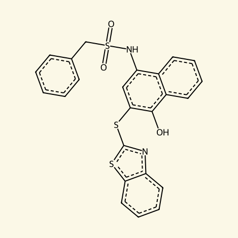 O=S(=O)(Cc1ccccc1)Nc1cc(Sc2nc3ccccc3s2)c(O)c2ccccc12